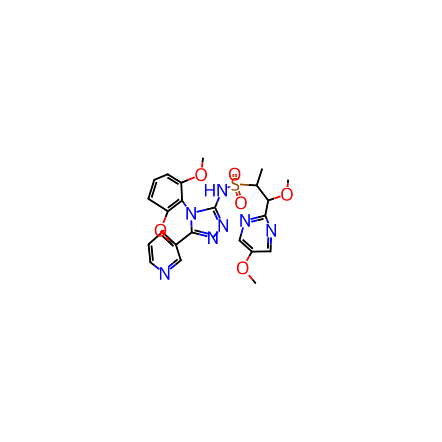 COc1cnc(C(OC)C(C)S(=O)(=O)Nc2nnc(-c3cccnc3)n2-c2c(OC)cccc2OC)nc1